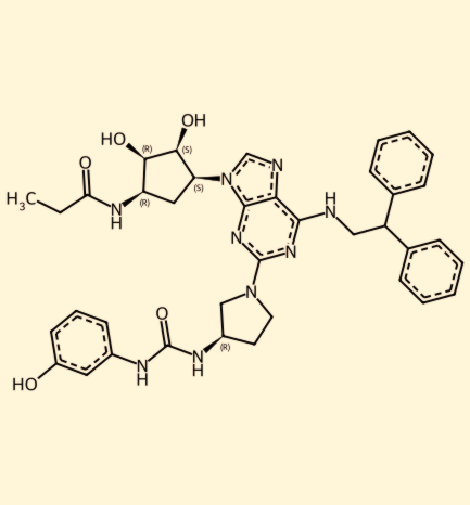 CCC(=O)N[C@@H]1C[C@H](n2cnc3c(NCC(c4ccccc4)c4ccccc4)nc(N4CC[C@@H](NC(=O)Nc5cccc(O)c5)C4)nc32)[C@H](O)[C@@H]1O